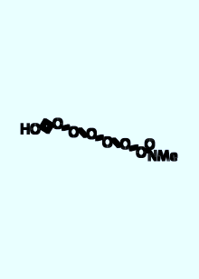 CNC(=O)OCCOCCOCCOCCOCCOC1CC(O)C1